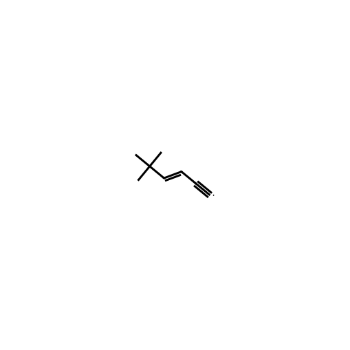 [C]#CC=CC(C)(C)C